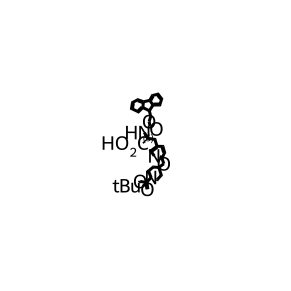 CC(C)(C)OC(=O)N1CCC(Oc2ccc(C[C@H](NC(=O)OCC3c4ccccc4-c4ccccc43)C(=O)O)cn2)CC1